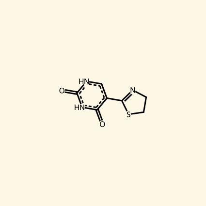 O=c1[nH]cc(C2=NCCS2)c(=O)[nH]1